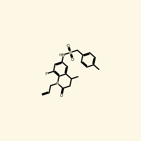 C=CCN1C(=O)CC(C)c2cc(NS(=O)(=O)Cc3ccc(C)cc3)cc(F)c21